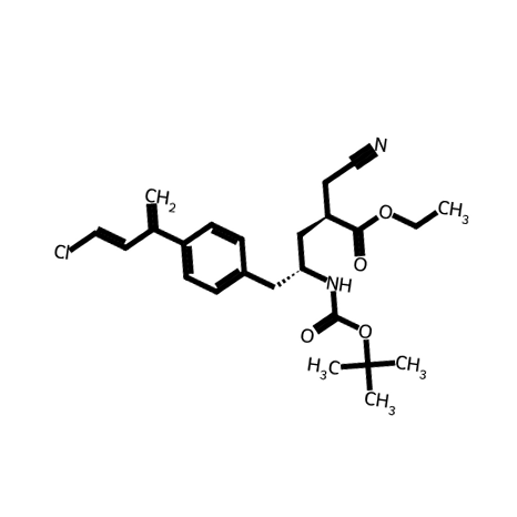 C=C(/C=C/Cl)c1ccc(C[C@H](C[C@@H](CC#N)C(=O)OCC)NC(=O)OC(C)(C)C)cc1